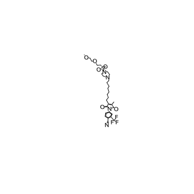 COCCOCCS(=O)(=O)N1CCN(CCCCCCCCC2=C(C)C(=O)N(c3ccc(C#N)c(C(F)(F)F)c3)C2=O)CC1